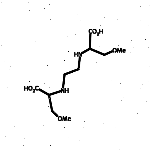 COCC(NCCNC(COC)C(=O)O)C(=O)O